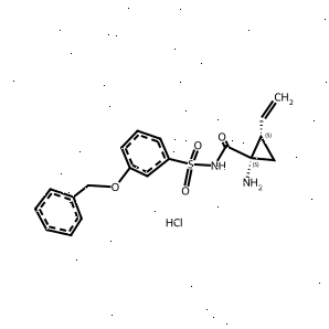 C=C[C@@H]1C[C@@]1(N)C(=O)NS(=O)(=O)c1cccc(OCc2ccccc2)c1.Cl